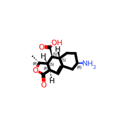 C[C@H]1OC(=O)[C@@H]2C=C3C[C@H](N)CC[C@H]3[C@H](C(=O)O)[C@H]12